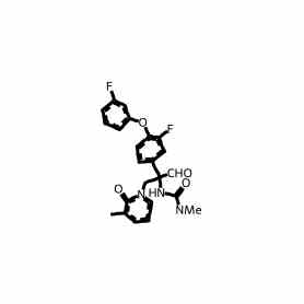 CNC(=O)NC(C=O)(Cn1cccc(C)c1=O)c1ccc(Oc2cccc(F)c2)c(F)c1